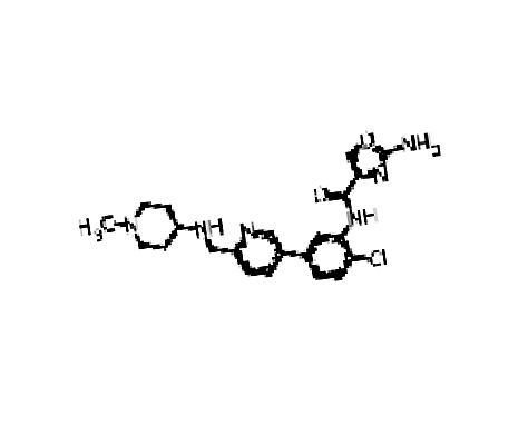 CN1CCC(NCc2ccc(-c3ccc(Cl)c(NC(=O)c4coc(N)n4)c3)cn2)CC1